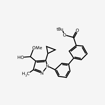 COC(O)c1c(C)nn(-c2cccc(-c3cccc(C(=O)OC(C)(C)C)c3)c2)c1C1CC1